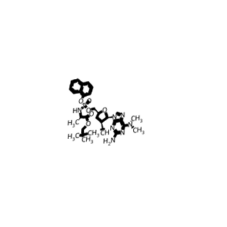 C#C[C@H]1C[C@@H](COP(=O)(N[C@@H](C)C(=O)OCC(C)(C)C)Oc2cccc3ccccc23)O[C@H]1n1cnc2c(N(C)C)nc(N)nc21